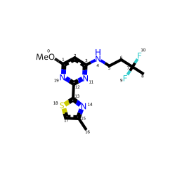 COc1cc(NCCC(C)(F)F)nc(-c2nc(C)cs2)n1